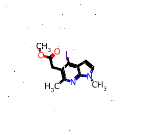 COC(=O)Cc1c(C)nc2c(ccn2C)c1I